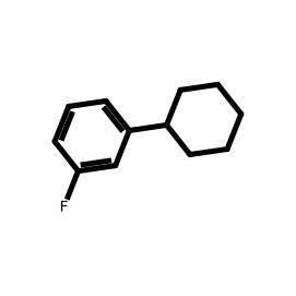 Fc1cccc(C2CCCCC2)c1